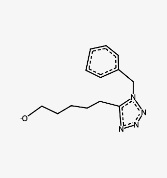 [O]CCCCCc1nnnn1Cc1ccccc1